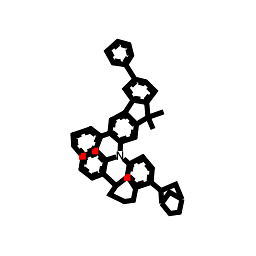 CC1(C)c2ccc(-c3ccccc3)cc2-c2cc(-c3ccccc3)c(N(c3ccc(C4CC5CCC4C5)cc3)c3ccccc3C3CCCCC3)cc21